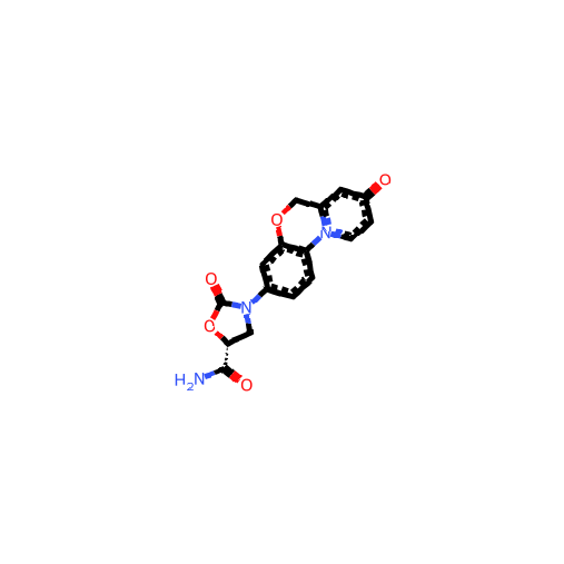 NC(=O)[C@H]1CN(c2ccc3c(c2)OCc2cc(=O)ccn2-3)C(=O)O1